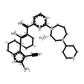 C[C@H]1CN(C2CCOCC2)CCCN1c1nccc(C(=N)C2=C(O)[C@@]3(CCC2)CCCc2sc(N)c(C#N)c23)n1